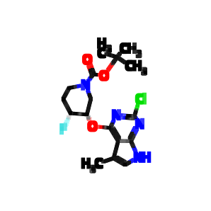 Cc1c[nH]c2nc(Cl)nc(O[C@H]3CN(C(=O)OC(C)(C)C)CC[C@H]3F)c12